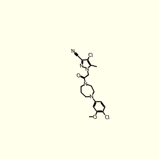 COc1cc(N2CCCN(C(=O)Cn3nc(C#N)c(Cl)c3C)CC2)ccc1Cl